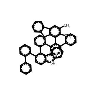 Cc1cc2c(c(-c3c(-c4ccccc4)nnnc3-c3ccccc3-c3c(-c4ccccc4-c4ccccc4)ccc4[se]c5ccccc5c34)c1C)Cc1ccccc1-2